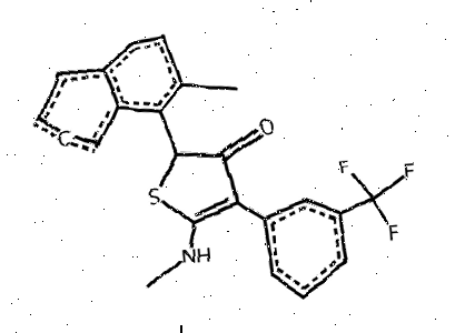 CNC1=C(c2cccc(C(F)(F)F)c2)C(=O)C(c2c(C)ccc3ccccc23)S1